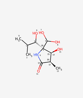 CC(C)C(O)[C@@]1(C(O)O)NC(=O)[C@H](C)[C@@H]1O